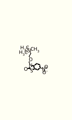 C[Si](C)(C)CCOCn1c(=O)sc2cc([N+](=O)[O-])ccc21